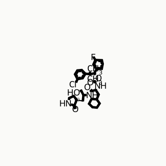 CC(C)(c1cccc(Cl)c1)C(OC(=O)NC(CC1CCCCC1)C(=O)NC(CO)C[C@@H]1CCNC1=O)c1cccc(F)c1